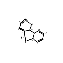 C1=CC2CNC3=CC=NCC3C2C=C1